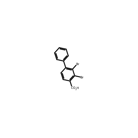 O=C(O)c1ccc(-c2ccccc2)c(Br)c1Br